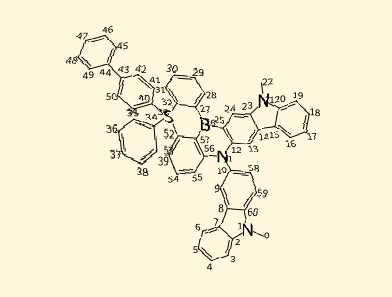 Cn1c2ccccc2c2cc(N3c4cc5c6ccccc6n(C)c5cc4B4c5ccccc5S(c5ccccc5)(c5ccc(-c6ccccc6)cc5)c5cccc3c54)ccc21